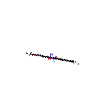 CCCCCC/C=C/CCCCCCCCCC(=O)NCCNC(=O)CCCCCCCCC/C=C/CCCCCC